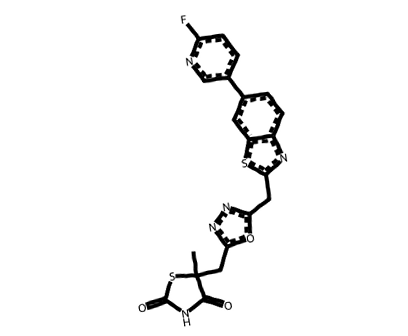 CC1(Cc2nnc(Cc3nc4ccc(-c5ccc(F)nc5)cc4s3)o2)SC(=O)NC1=O